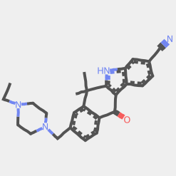 CCN1CCN(Cc2ccc3c(c2)C(C)(C)c2[nH]c4cc(C#N)ccc4c2C3=O)CC1